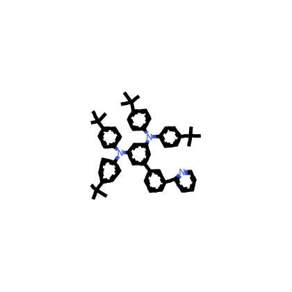 CC(C)(C)c1ccc(N(c2ccc(C(C)(C)C)cc2)c2cc(-c3cccc(-c4ccccn4)c3)cc(N(c3ccc(C(C)(C)C)cc3)c3ccc(C(C)(C)C)cc3)c2)cc1